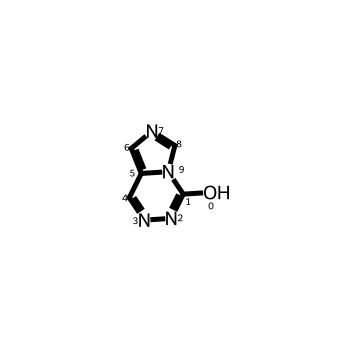 Oc1nncc2cncn12